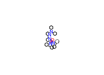 O=P(c1cccc(-c2cccc(N(c3ccccc3)c3ccccc3)n2)n1)(n1c2c(c3ccccc31)C=CCC2)n1c2ccccc2c2ccccc21